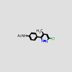 CC(=O)Nc1ccc(-c2nnc(Cl)cc2C)cc1